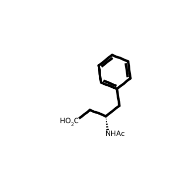 CC(=O)N[C@H](CC(=O)O)Cc1ccccc1